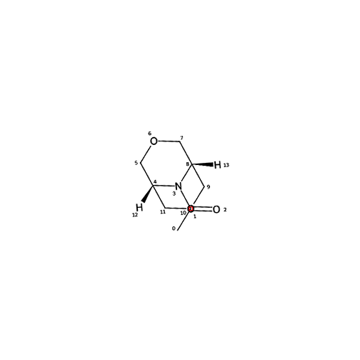 CC(=O)N1[C@H]2COC[C@@H]1COC2